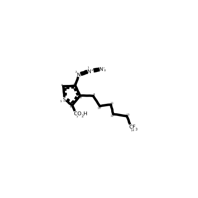 [N-]=[N+]=Nc1csc(C(=O)O)c1CCCCCC(F)(F)F